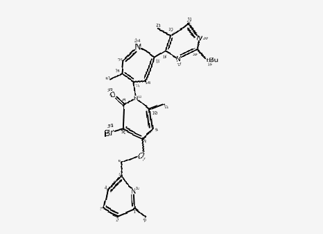 Cc1cccc(COc2cc(C)n(-c3cc(-c4nc(C(C)(C)C)ncc4C)ncc3C)c(=O)c2Br)n1